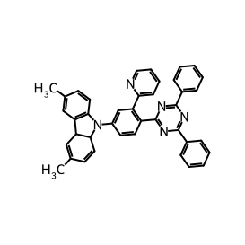 CC1=CC2c3cc(C)ccc3N(c3ccc(-c4nc(-c5ccccc5)nc(-c5ccccc5)n4)c(-c4ccccn4)c3)C2C=C1